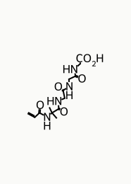 C=CC(=O)NC(C)(C)C(=O)NCC(=O)NCC(=O)NCC(=O)O